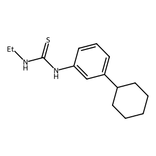 CCNC(=S)Nc1cccc(C2CCCCC2)c1